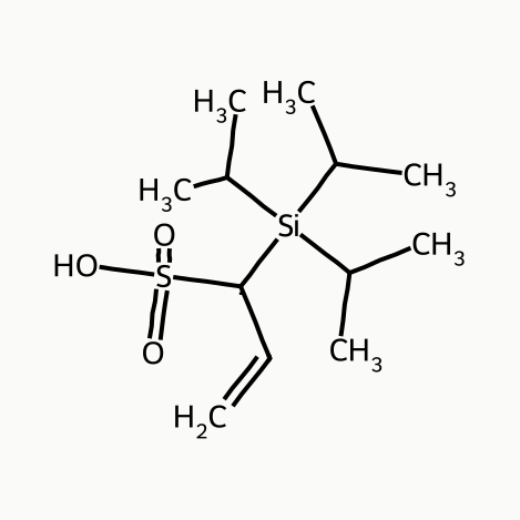 C=C[C]([Si](C(C)C)(C(C)C)C(C)C)S(=O)(=O)O